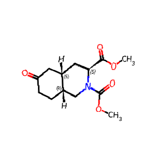 COC(=O)[C@@H]1C[C@H]2CC(=O)CC[C@H]2CN1C(=O)OC